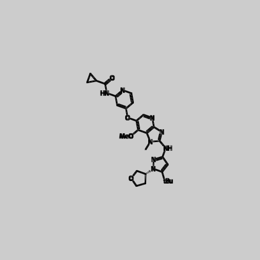 COc1c(Oc2ccnc(NC(=O)C3CC3)c2)cnc2nc(Nc3cc(C(C)(C)C)n([C@@H]4CCOC4)n3)n(C)c12